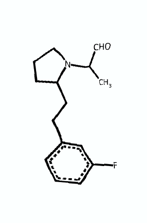 CC(C=O)N1CCCC1CCc1cccc(F)c1